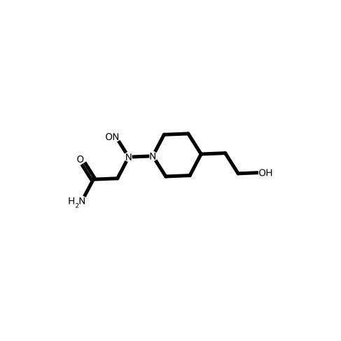 NC(=O)CN(N=O)N1CCC(CCO)CC1